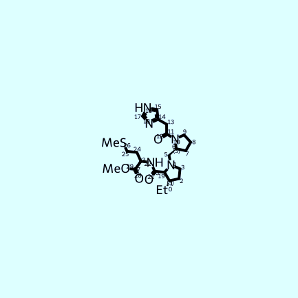 CC[C@H]1CCN(C[C@@H]2CCCN2C(=O)Cc2c[nH]cn2)C1C(=O)NC(CCSC)C(=O)OC